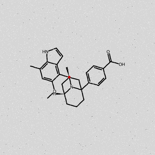 COc1cc(C)c2[nH]ccc2c1CN1[C@@H]2CCCC1(c1ccc(C(=O)O)cc1)C[C@H](C)C2